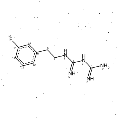 N=C(N)NC(=N)NCCc1cccc(F)c1